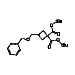 CC(C)(C)OC(=O)C1(C(=O)OC(C)(C)C)CC(COCc2ccccc2)C1